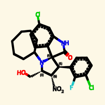 O=C1Nc2cc(Cl)ccc2[C@@]12[C@@H](c1cccc(Cl)c1F)[C@H]([N+](=O)[O-])[C@H](CO)N2C1CCCCCC1